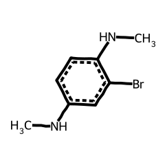 CNc1ccc(NC)c(Br)c1